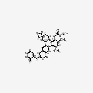 Cc1nc(C)c(-c2ccc3c(c2)CCN(Cc2ccccc2F)C3)c(N2CCC3(CCC3)CC2)c1CC(=O)OC(C)C